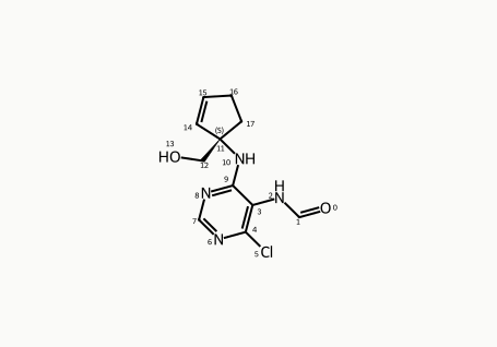 O=CNc1c(Cl)ncnc1N[C@]1(CO)C=CCC1